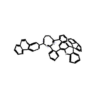 C1=C(c2ccc3c(ccc4ccccc43)c2)/N=C(c2ccccc2-c2cccc3c2Sc2ccccc2C32c3ccccc3-c3ccccc32)\N=C(\c2ccccc2)CC\1